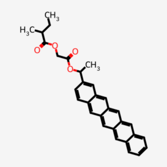 CCC(C)C(=O)OCC(=O)OC(C)c1ccc2cc3cc4cc5ccccc5cc4cc3cc2c1